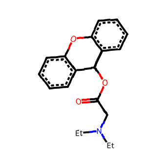 CCN(CC)CC(=O)OC1c2ccccc2Oc2ccccc21